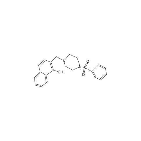 O=S(=O)(c1ccccc1)N1CCN(Cc2ccc3ccccc3c2O)CC1